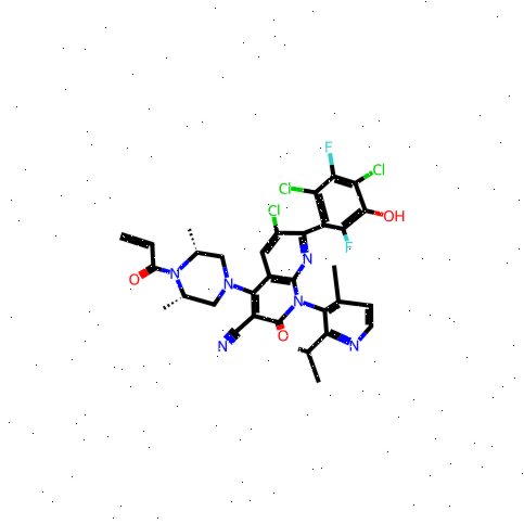 C=CC(=O)N1[C@H](C)CN(c2c(C#N)c(=O)n(-c3c(C)ccnc3C(C)C)c3nc(-c4c(F)c(O)c(Cl)c(F)c4Cl)c(Cl)cc23)C[C@@H]1C